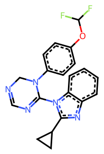 FC(F)Oc1ccc(N2CN=CN=C2n2c(C3CC3)nc3ccccc32)cc1